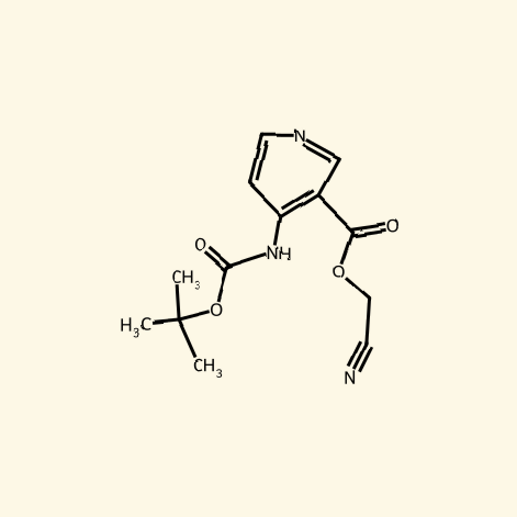 CC(C)(C)OC(=O)Nc1ccncc1C(=O)OCC#N